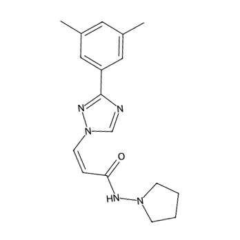 Cc1cc(C)cc(-c2ncn(/C=C\C(=O)NN3CCCC3)n2)c1